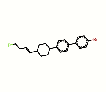 FCC/C=C/C1CCC(c2ccc(-c3ccc(Br)cc3)cc2)CC1